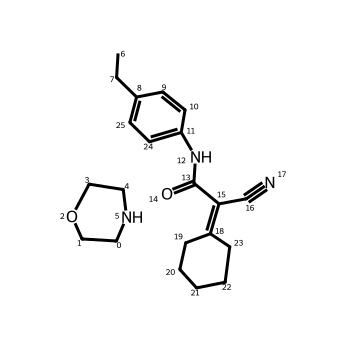 C1COCCN1.CCc1ccc(NC(=O)C(C#N)=C2CCCCC2)cc1